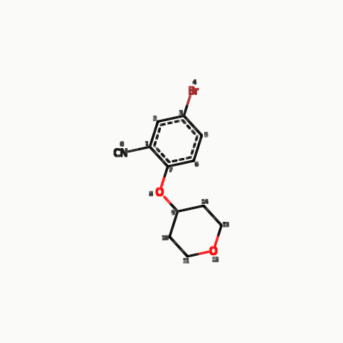 [C-]#[N+]c1cc(Br)ccc1OC1CCOCC1